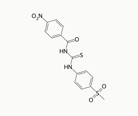 CS(=O)(=O)c1ccc(NC(=S)NC(=O)c2ccc([N+](=O)[O-])cc2)cc1